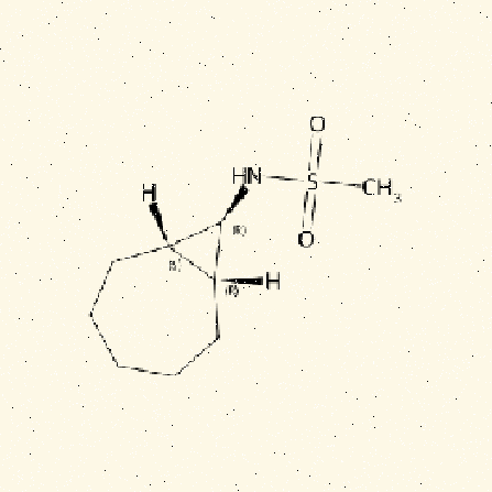 CS(=O)(=O)N[C@H]1[C@@H]2CCCCC[C@@H]21